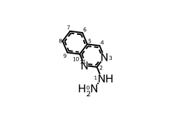 NNc1ncc2ccccc2n1